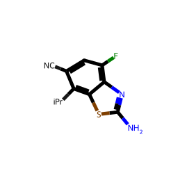 CC(C)c1c(C#N)cc(F)c2nc(N)sc12